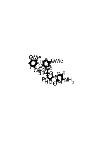 COc1ccc(OP(=S)(OC[C@@]2(C(F)F)O[C@@H](n3cc(F)c(N)nc3=O)[C@H](O)[C@H]2F)Oc2ccc(OC)cc2)cc1